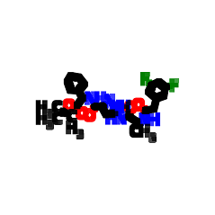 CC(NC(=O)Cc1cc(F)cc(F)c1)C(=O)Nc1cc(C(=O)NC(C(=O)OC(C)(C)C)c2ccccc2)n[nH]1